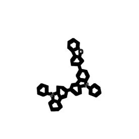 c1ccc(-n2c3ccccc3c3cc(-c4ccc5c(c4)c4cc(-c6ccc7c(c6)oc6ccccc67)ccc4n5-c4ccccc4)ccc32)cc1